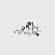 CCOC(=O)CC1Cc2c(Br)cccc2C1=NO